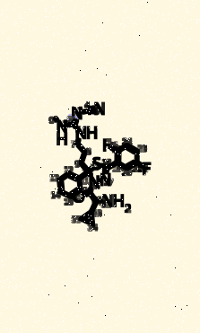 CN/C(=N/C#N)NCCCC1(c2ccccc2)SC(c2cc(F)ccc2F)=NN1C(=O)[C@@H](N)C1CC1